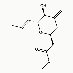 C=C1C[C@@H](CC(=O)OC)O[C@H](/C=C/I)[C@H]1O